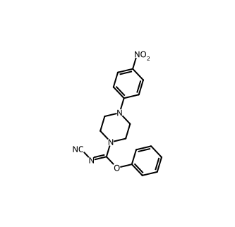 N#C/N=C(/Oc1ccccc1)N1CCN(c2ccc([N+](=O)[O-])cc2)CC1